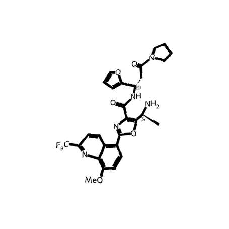 COc1ccc(-c2nc(C(=O)N[C@@H](CC(=O)N3CCCC3)c3ccco3)c([C@H](C)N)o2)c2ccc(C(F)(F)F)nc12